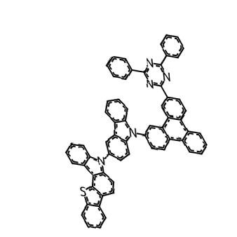 c1ccc(-c2nc(-c3ccccc3)nc(-c3ccc4c5ccccc5c5ccc(-n6c7ccccc7c7cc(-n8c9ccccc9c9c%10sc%11ccccc%11c%10ccc98)ccc76)cc5c4c3)n2)cc1